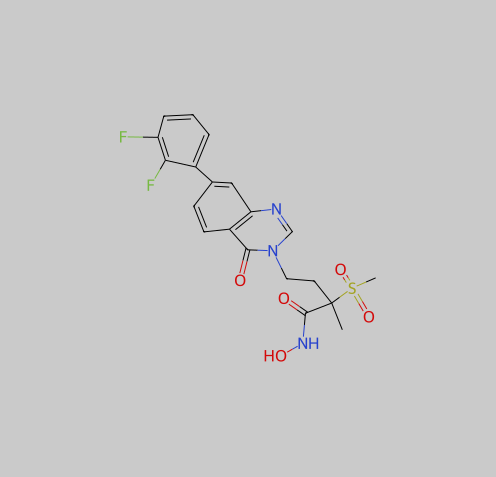 CC(CCn1cnc2cc(-c3cccc(F)c3F)ccc2c1=O)(C(=O)NO)S(C)(=O)=O